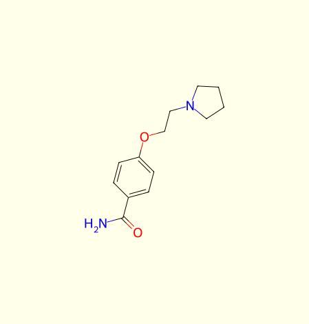 NC(=O)c1ccc(OCCN2CCCC2)cc1